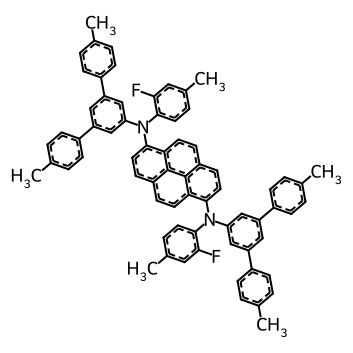 Cc1ccc(-c2cc(-c3ccc(C)cc3)cc(N(c3ccc(C)cc3F)c3ccc4ccc5c(N(c6cc(-c7ccc(C)cc7)cc(-c7ccc(C)cc7)c6)c6ccc(C)cc6F)ccc6ccc3c4c65)c2)cc1